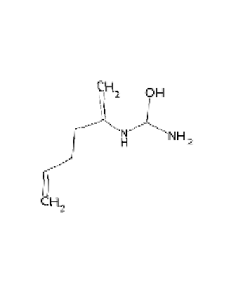 C=CCCC(=C)NC(N)O